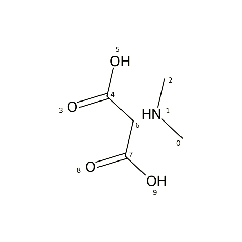 CNC.O=C(O)CC(=O)O